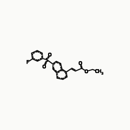 CCOC(=O)C=Cc1cccc2cc(S(=O)(=O)c3cccc(F)c3)ccc12